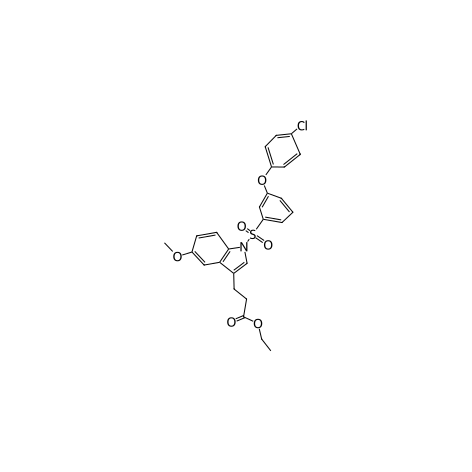 CCOC(=O)CCc1cn(S(=O)(=O)c2cccc(Oc3ccc(Cl)cc3)c2)c2ccc(OC)cc12